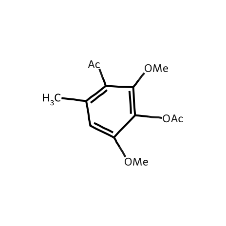 COc1cc(C)c(C(C)=O)c(OC)c1OC(C)=O